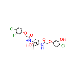 O=C(COc1ccc(Cl)c(O)c1)NC12CCC(NC(=O)COc3ccc(Cl)c(F)c3)(CC1)[C@@H](O)C2